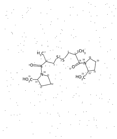 CC(CSSCC(C)C(=O)N1CCCC1C(=O)O)C(=O)N1CCCC1C(=O)O